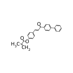 C=C(C)C(=O)Oc1ccc(C=CC(=O)c2ccc(-c3ccccc3)cc2)cc1